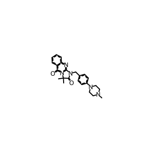 CN1CCN(c2ccc(CN3C(=O)C(C)(C)n4c3nc3ccccc3c4=O)cc2)CC1